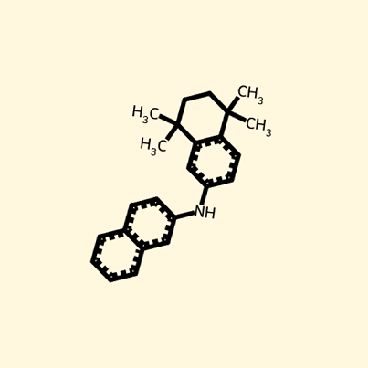 CC1(C)CCC(C)(C)c2cc(Nc3ccc4ccccc4c3)ccc21